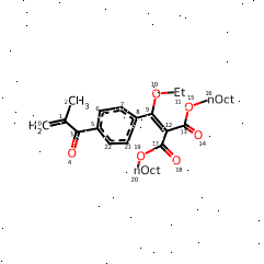 C=C(C)C(=O)c1ccc(C(OCC)=C(C(=O)OCCCCCCCC)C(=O)OCCCCCCCC)cc1